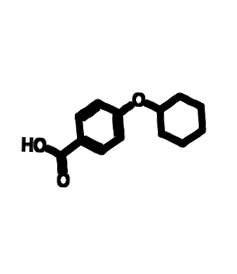 O=C(O)c1ccc(OC2CCCCC2)cc1